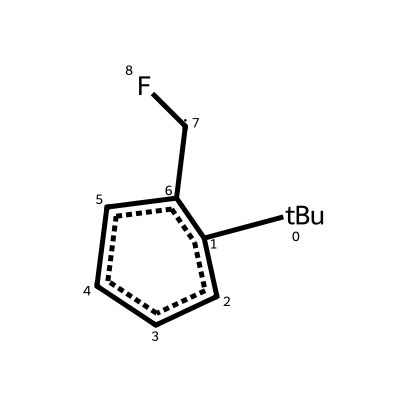 CC(C)(C)c1ccccc1[CH]F